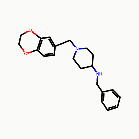 c1ccc(CNC2CCN(Cc3ccc4c(c3)OCCO4)CC2)cc1